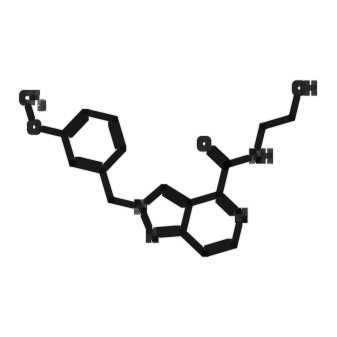 O=C(NCCO)c1nccc2nn(Cc3cccc(OC(F)(F)F)c3)cc12